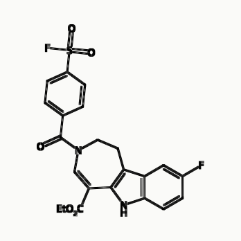 CCOC(=O)C1=CN(C(=O)c2ccc(S(=O)(=O)F)cc2)CCc2c1[nH]c1ccc(F)cc21